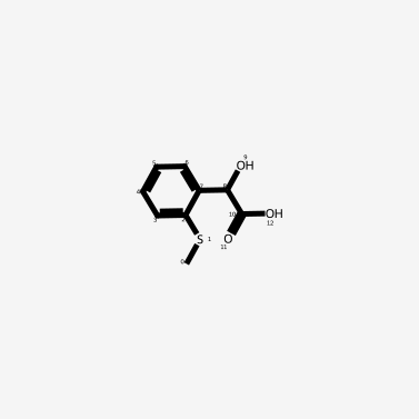 CSc1ccccc1C(O)C(=O)O